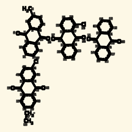 Cc1ccc2c(c1)C(=O)c1ccccc1C2=O.O=C1c2ccccc2C(=O)c2c(Cl)cccc21.O=C1c2ccccc2C(=O)c2cc(Cl)ccc21.O=C1c2ccccc2C(=O)c2ccccc21.[CH2]C